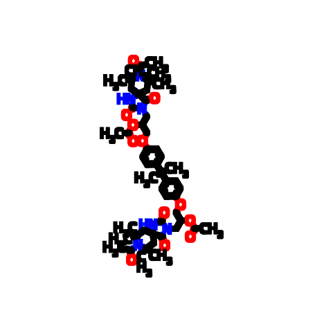 CC(=O)OC(COc1ccc(C(C)(C)c2ccc(OCC(CN3C(=O)NC4(CC(C)(C)N(C(C)=O)C(C)(C)C4)C3=O)OC(C)=O)cc2)cc1)CN1C(=O)NC2(CC(C)(C)N(C(C)=O)C(C)(C)C2)C1=O